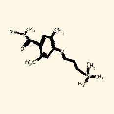 CCN(C)C(=O)c1cc(C(F)(F)F)c(OCCC[Si](C)(C)C)cc1C